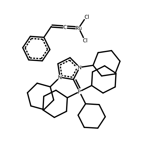 [Cl][Ru]([Cl])=[C]=Cc1ccccc1.c1cn(C2CCCCC2)c(=P(C2CCCCC2)(C2CCCCC2)C2CCCCC2)n1C1CCCCC1